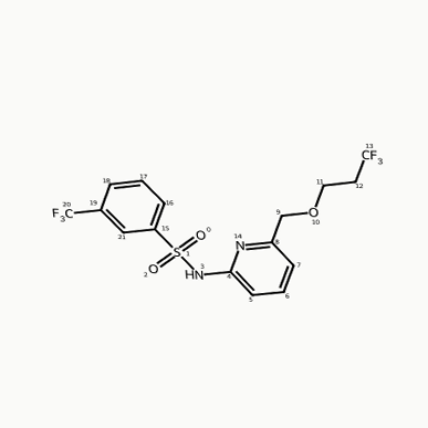 O=S(=O)(Nc1cccc(COCCC(F)(F)F)n1)c1cccc(C(F)(F)F)c1